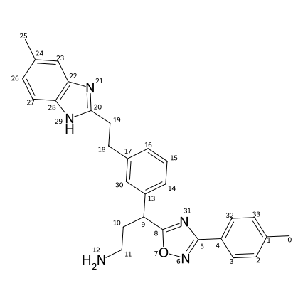 Cc1ccc(-c2noc(C(CCN)c3cccc(CCc4nc5cc(C)ccc5[nH]4)c3)n2)cc1